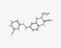 O=C(O)C1Oc2cc(OCc3cccc(F)c3)ccc2CC1=O